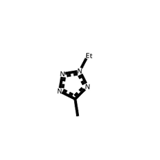 CCn1nnc(C)n1